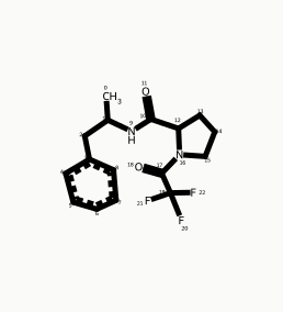 CC(Cc1ccccc1)NC(=O)C1CCCN1C(=O)C(F)(F)F